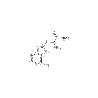 CNC(=O)C(N)Cc1cc2nccc(Cl)c2s1